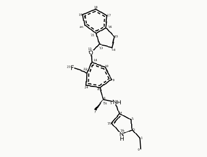 CCC1CC(N[C@@H](C)c2ccc(OC3CCc4ccccc43)c(F)c2)=CN1